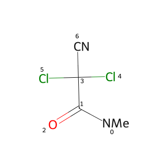 CNC(=O)C(Cl)(Cl)C#N